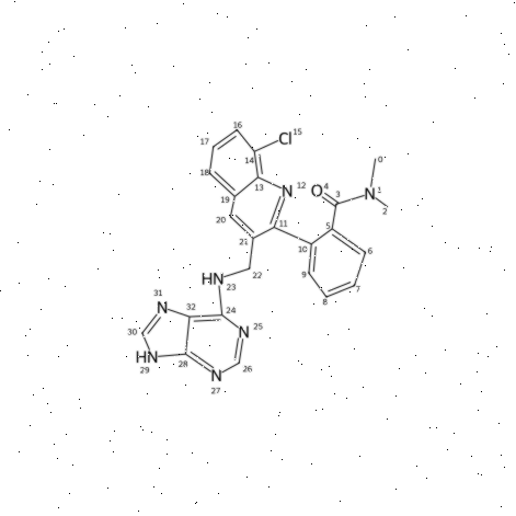 CN(C)C(=O)c1ccccc1-c1nc2c(Cl)cccc2cc1CNc1ncnc2[nH]cnc12